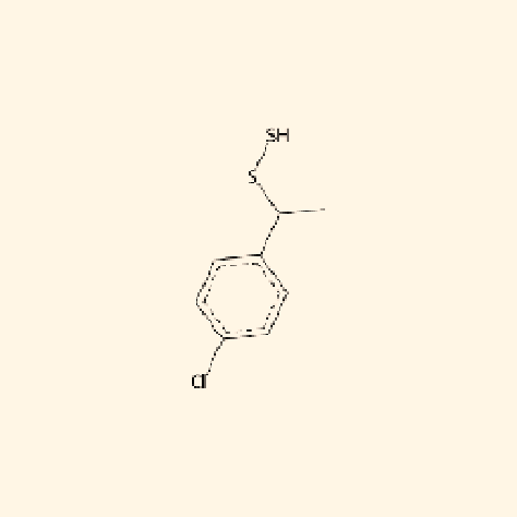 CC(SS)c1ccc(Cl)cc1